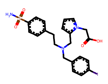 NS(=O)(=O)c1ccc(CCN(Cc2ccc(I)cc2)Cc2cccn2CC(=O)O)cc1